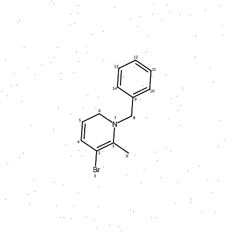 CC1=C(Br)C=CCN1Cc1ccccc1